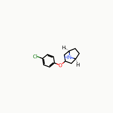 Clc1ccc(OC2C[C@H]3CC[C@@H](C2)N3)cc1